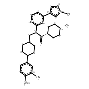 COc1ccc(C2CCC(CN(c3cc(-c4cnn(C(C)C)c4)ccn3)C(=O)[C@H]3CC[C@@H](O)CC3)CC2)cc1C#N